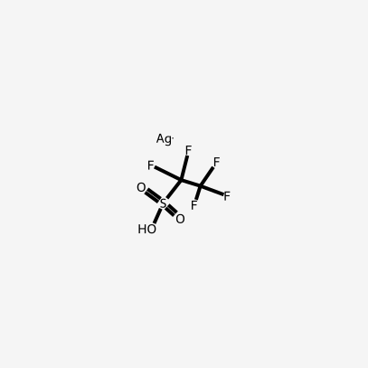 O=S(=O)(O)C(F)(F)C(F)(F)F.[Ag]